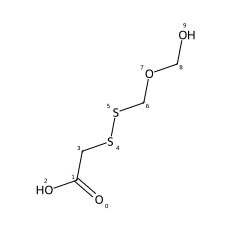 O=C(O)CSSCOCO